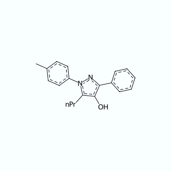 CCCc1c(O)c(-c2ccccc2)nn1-c1ccc(C)cc1